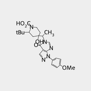 COc1ccc(-n2ncc3c(=O)n(C(C)C4(O)CCN(C(=O)O)C(C(C)(C)C)C4)cnc32)cc1